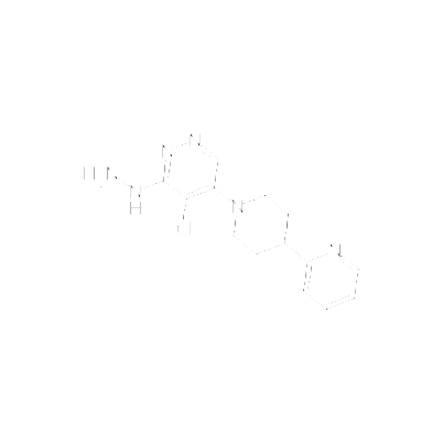 NNc1nncc(N2CCC(c3ccccn3)CC2)c1Cl